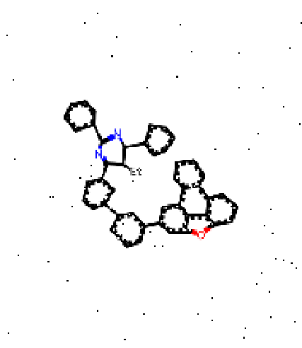 CCC1C(c2cccc(-c3cccc(-c4cc5oc6cccc7c8ccccc8c(c4)c5c67)c3)c2)=NC(c2ccccc2)=NC1c1ccccc1